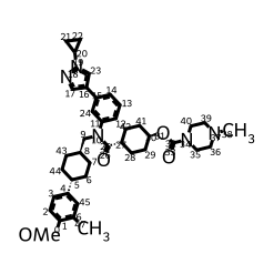 COc1ccc([C@H]2CC[C@H](CN(c3cccc(-c4cnn(C5CC5)c4)c3)C(=O)[C@H]3CC[C@H](OC(=O)N4CCN(C)CC4)CC3)CC2)cc1C